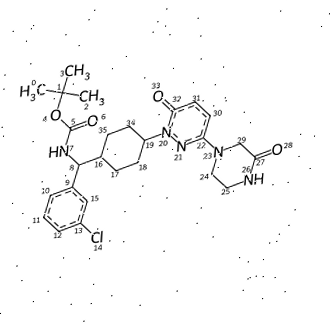 CC(C)(C)OC(=O)NC(c1cccc(Cl)c1)C1CCC(n2nc(N3CCNC(=O)C3)ccc2=O)CC1